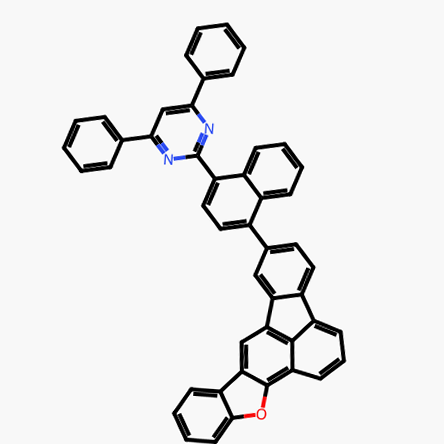 c1ccc(-c2cc(-c3ccccc3)nc(-c3ccc(-c4ccc5c(c4)-c4cc6c7ccccc7oc6c6cccc-5c46)c4ccccc34)n2)cc1